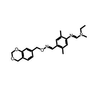 CCN(C)C=Nc1cc(C)c(C=NOCc2ccc3c(c2)OCOC3)cc1C